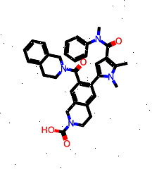 Cc1c(C(=O)N(C)c2ccccc2)cc(-c2cc3c(cc2C(=O)N2CCc4ccccc4C2)CN(C(=O)O)CC3)n1C